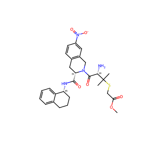 COC(=O)CSC(C)(C)[C@@H](N)C(=O)N1Cc2cc([N+](=O)[O-])ccc2C[C@H]1C(=O)N[C@@H]1CCCc2ccccc21